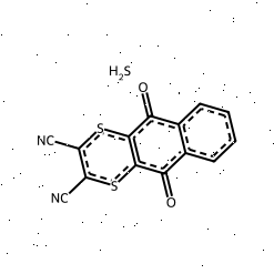 N#Cc1sc2c(=O)c3ccccc3c(=O)c=2sc1C#N.S